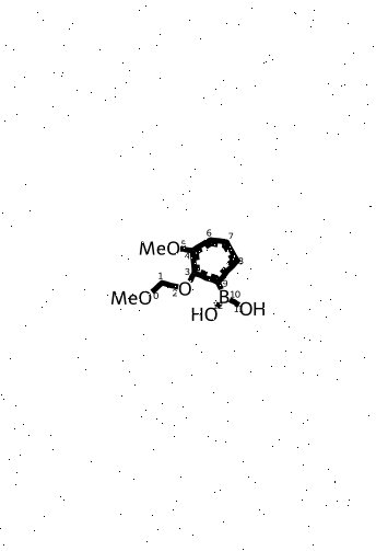 COCOc1c(OC)cccc1B(O)O